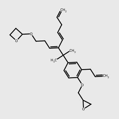 C=CC/C=C/C(=C\CCOC1CCO1)C(C)(C)c1ccc(OCC2CO2)c(CC=C)c1